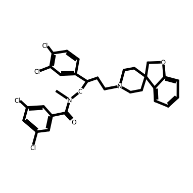 CN(CC(CCN1CCC2(CC1)COc1ccccc12)c1ccc(Cl)c(Cl)c1)C(=O)c1cc(Cl)cc(Cl)c1